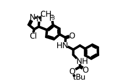 CN1N=CC(Cl)C1c1ccc(C(=O)NC(CNC(=O)OC(C)(C)C)Cc2ccccc2)cc1F